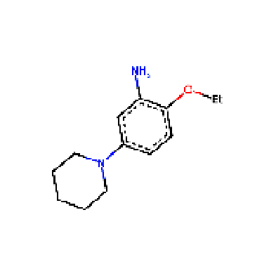 CCOc1ccc(N2CCCCC2)cc1N